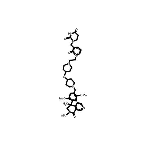 CCCCN1CC(C)(c2cc(OC)c(CN3CCC(OC4CCN(CCn5cccc(CN6CCC(=O)NC6=O)c5=O)CC4)CC3)cc2OC)c2ccncc2C1=O